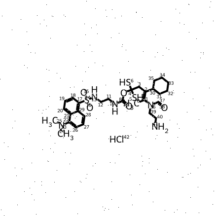 CC(=C(CC(S)(S)OC(=O)NCCNS(=O)(=O)c1cccc2c(N(C)C)cccc12)C1CCCCC1)N(C=O)CCN.Cl